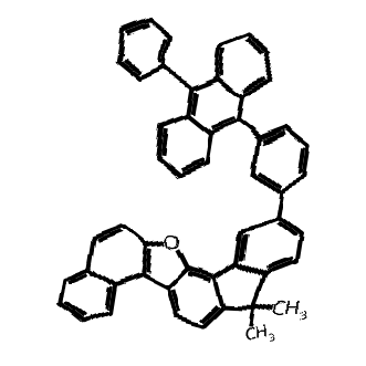 CC1(C)c2ccc(-c3cccc(-c4c5ccccc5c(-c5ccccc5)c5ccccc45)c3)cc2-c2c1ccc1c2oc2ccc3ccccc3c21